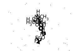 Cc1[nH]nc([Si](C)(C)C)c1S(=O)(=O)NC(=O)c1ccc(-n2ccc(OCCC3(C(F)(F)F)CC3)n2)nc1Cl